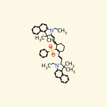 CCN1/C(=C/C=C2\CCCC(/C=C/C3=[N+](CC)c4ccc5ccccc5c4C3(C)C)=C2S(=O)(=O)c2ccccc2)C(C)(C)c2c1ccc1ccccc21